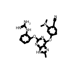 Cc1nc2c(Oc3ccc(C#N)c(N(C)C)c3)nc(Oc3ccccc3NC(=N)N)nc2[nH]1